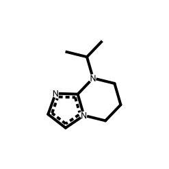 CC(C)N1CCCn2ccnc21